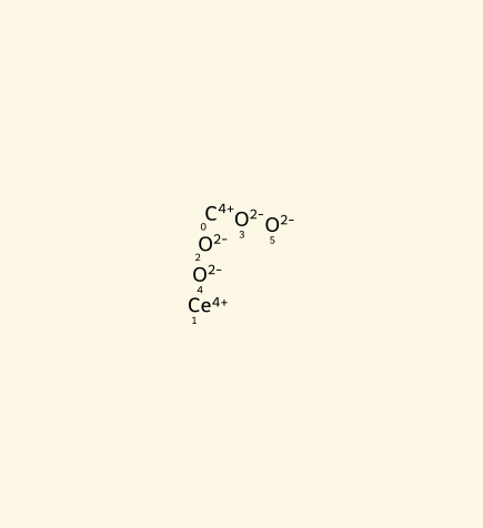 [C+4].[Ce+4].[O-2].[O-2].[O-2].[O-2]